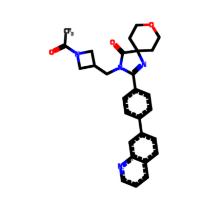 O=C(N1CC(CN2C(=O)C3(CCOCC3)N=C2c2ccc(-c3ccc4cccnc4c3)cc2)C1)C(F)(F)F